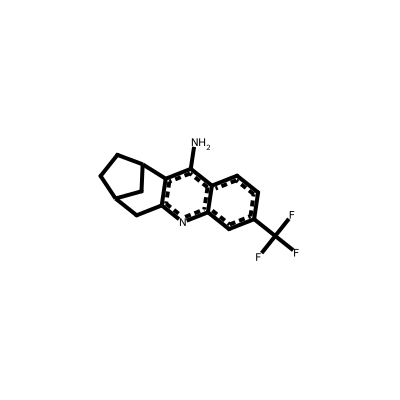 Nc1c2c(nc3cc(C(F)(F)F)ccc13)CC1CCC2C1